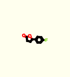 O=C1CCC(c2ccc(F)cc2)O1